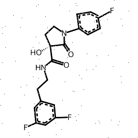 O=C(NCCc1cc(F)cc(F)c1)[C@@]1(O)CCN(c2ccc(F)cc2)C1=O